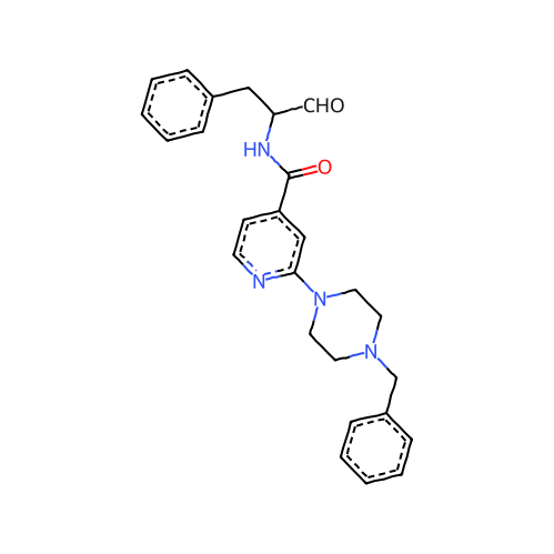 O=CC(Cc1ccccc1)NC(=O)c1ccnc(N2CCN(Cc3ccccc3)CC2)c1